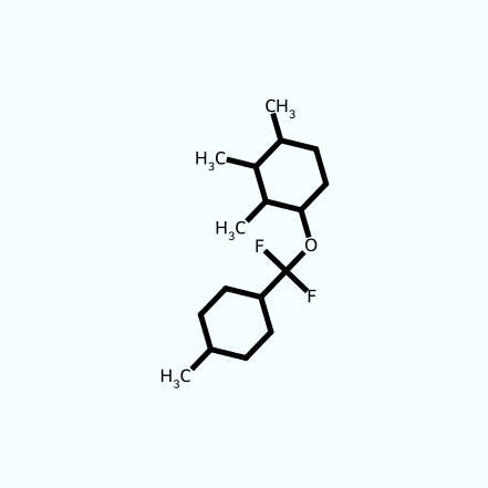 CC1CCC(C(F)(F)OC2CCC(C)C(C)C2C)CC1